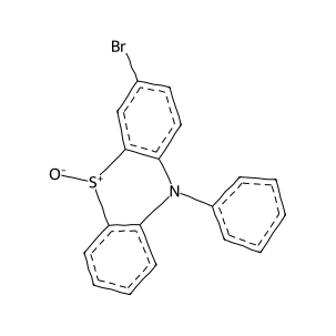 [O-][S+]1c2ccccc2N(c2ccccc2)c2ccc(Br)cc21